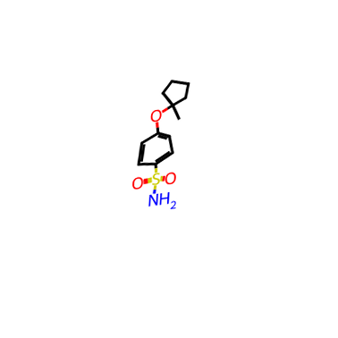 CC1(Oc2ccc(S(N)(=O)=O)cc2)CCCC1